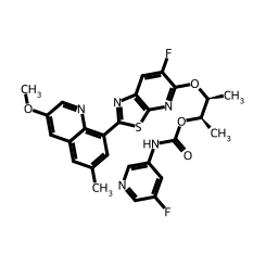 COc1cnc2c(-c3nc4cc(F)c(O[C@@H](C)[C@@H](C)OC(=O)Nc5cncc(F)c5)nc4s3)cc(C)cc2c1